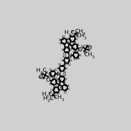 CCC1(COc2ccc(C3(c4ccc(C(C)(C)C)cc4)c4ccccc4-c4ccc(N(c5ccccc5)c5ccc(-c6ccc(N(c7ccccc7)c7ccc8c(c7)C(c7ccc(OCC9(CC)COC9)cc7)(c7ccc(C(C)(C)C)cc7)c7ccccc7-8)cc6)cc5)cc43)cc2)COC1